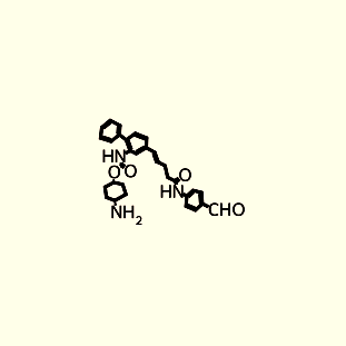 N[C@H]1CC[C@H](OC(=O)Nc2cc(C=CCCC(=O)Nc3ccc(C=O)cc3)ccc2-c2ccccc2)CC1